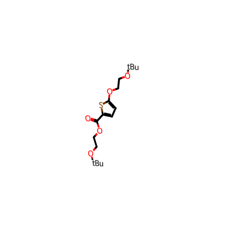 CC(C)(C)OCCOC(=O)c1ccc(OCCOC(C)(C)C)s1